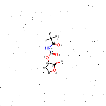 CCC(C)(C)C(=O)NC(=O)OC1CCOC1=O